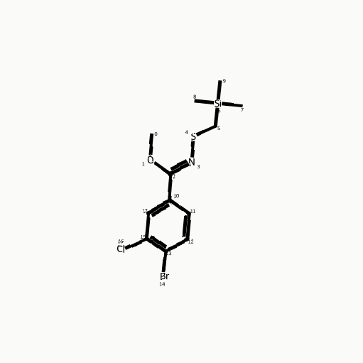 COC(=NSC[Si](C)(C)C)c1ccc(Br)c(Cl)c1